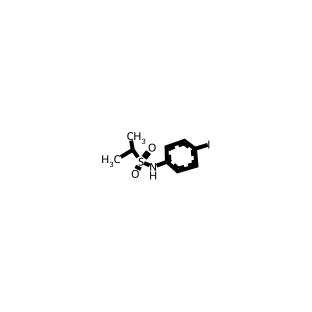 CC(C)S(=O)(=O)Nc1ccc(I)cc1